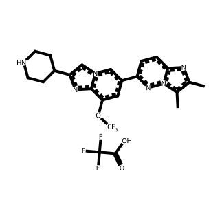 Cc1nc2ccc(-c3cc(OC(F)(F)F)c4nc(C5CCNCC5)cn4c3)nn2c1C.O=C(O)C(F)(F)F